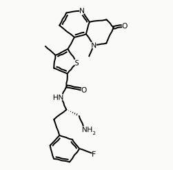 Cc1cc(C(=O)N[C@H](CN)Cc2cccc(F)c2)sc1-c1ccnc2c1N(C)CC(=O)C2